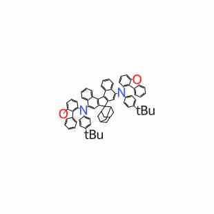 CC(C)(C)c1ccc(N(c2cc3c(c4ccccc24)-c2c(cc(N(c4ccc(C(C)(C)C)cc4)c4cccc5oc6ccccc6c45)c4ccccc24)C32C3CC4CC(C3)CC2C4)c2cccc3oc4ccccc4c23)cc1